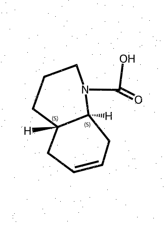 O=C(O)N1CCC[C@H]2CC=CC[C@@H]21